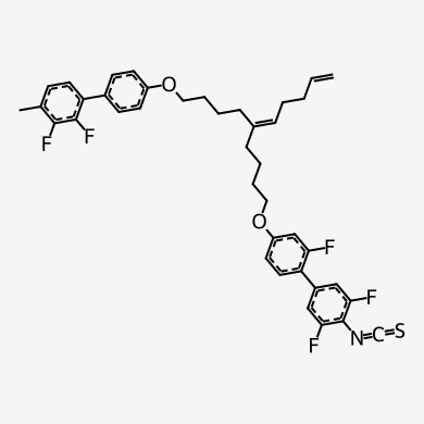 C=CCC/C=C(\CCCCOc1ccc(-c2ccc(C)c(F)c2F)cc1)CCCCOc1ccc(-c2cc(F)c(N=C=S)c(F)c2)c(F)c1